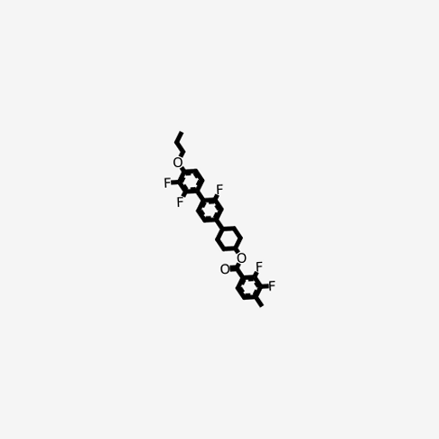 CCCOc1ccc(-c2ccc(C3CCC(OC(=O)c4ccc(C)c(F)c4F)CC3)cc2F)c(F)c1F